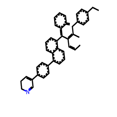 C=c1cccc/c1=C(C(/C=C\C)=C(/C)Cc1ccc(CC)cc1)\c1cccc2c(-c3ccc(C4=CCCN=C4)cc3)cccc12